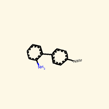 CNc1ccc(-c2ccccc2N)cc1